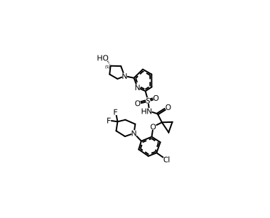 O=C(NS(=O)(=O)c1cccc(N2CC[C@H](O)C2)n1)C1(Oc2cc(Cl)ccc2N2CCC(F)(F)CC2)CC1